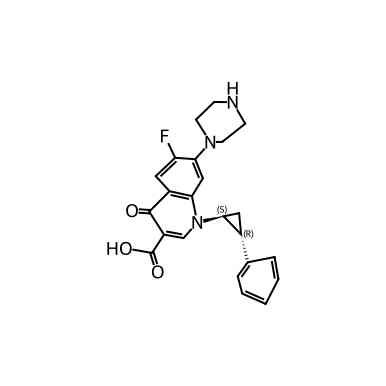 O=C(O)c1cn([C@H]2C[C@@H]2c2ccccc2)c2cc(N3CCNCC3)c(F)cc2c1=O